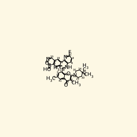 Cc1cc([C@@H](C)Nc2ccc(F)nc2-c2ccc3c(c2)C=NOB3O)c2oc(N3CCC(C)(C)CC3)c(C)c(=O)c2c1